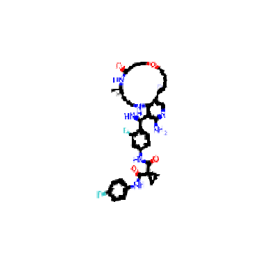 C[C@@H]1CCNc2c(cnc(N)c2C(=N)c2ccc(NC(=O)C3(C(=O)Nc4ccc(F)cc4)CC3)cc2F)/C=C/CCOCCC(=O)N1